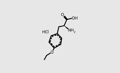 CCOc1ccc(C[C@H](N)C(=O)O)cc1.Cl